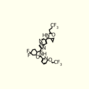 O=C(CCC(F)(F)F)N[C@@H](c1cnn2cc([C@@H](NC(=O)c3cccc(OCC(F)(F)F)n3)C3CCC(F)(F)CC3)nc2c1)C1CC1